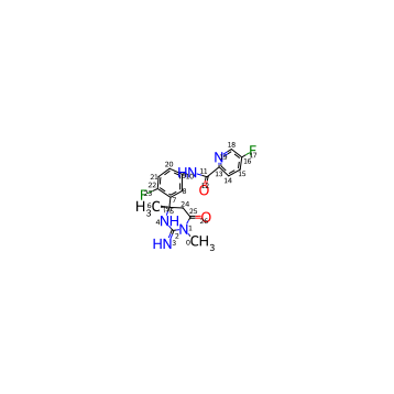 CN1C(=N)N[C@](C)(c2cc(NC(=O)c3ccc(F)cn3)ccc2F)CC1=O